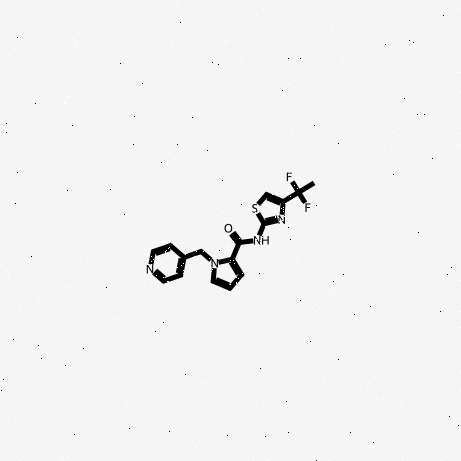 CC(F)(F)c1csc(NC(=O)c2cccn2Cc2ccncc2)n1